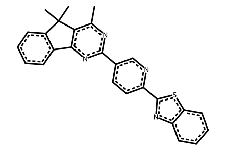 Cc1nc(-c2ccc(-c3nc4ccccc4s3)nc2)nc2c1C(C)(C)c1ccccc1-2